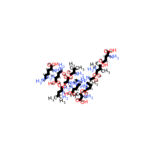 CC(C)C[C@H](N)C(=O)OC[C@H](N)C(=O)OC(=O)[C@@H](N)C(C)C.CC[C@H](C)[C@H](N)C(=O)OC(=O)[C@H](C)N.C[C@@H](OC(=O)[C@@H]1CCCN1)[C@H](N)C(=O)O.NC(=O)CC[C@H](N)C(=O)O.NCCCC[C@H](N)C(=O)O.N[C@@H](CCC(=O)O)C(=O)O.N[C@@H](Cc1c[nH]cn1)C(=O)O